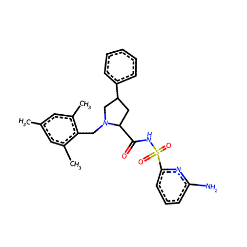 Cc1cc(C)c(CN2CC(c3ccccc3)CC2C(=O)NS(=O)(=O)c2cccc(N)n2)c(C)c1